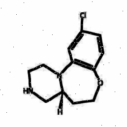 Clc1ccc2c(c1)N1CCNC[C@H]1CCO2